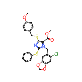 COC(=O)c1c(SCc2ccc(OC)cc2)nc(Sc2ccccc2)n1Cc1cc2c(cc1Cl)OCO2